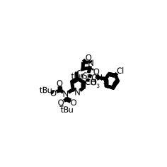 CC(C)(C)OC(=O)N(C(=O)OC(C)(C)C)c1cc(C[C@@H]2C3ON3[C@]2(OC(=O)c2cccc(Cl)c2)[Si](C)(C)C(C)(C)C)ccn1